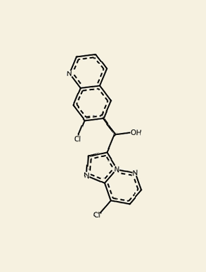 OC(c1cc2cccnc2cc1Cl)c1cnc2c(Cl)ccnn12